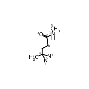 CNC(=O)CCC1(C)N=N1